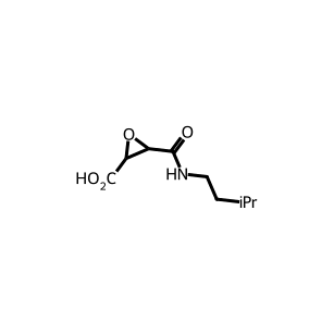 CC(C)CCNC(=O)C1OC1C(=O)O